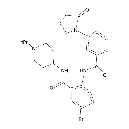 CCCN1CCC(NC(=O)c2cc(CC)ccc2NC(=O)c2cccc(N3CCCC3=O)c2)CC1